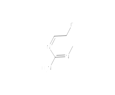 C/N=C(N)\N=C/CF